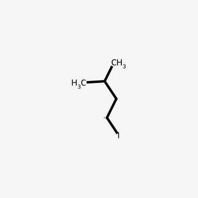 CC(C)C[CH]I